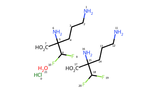 Cl.NCCCC(N)(C(=O)O)C(F)F.NCCCC(N)(C(=O)O)C(F)F.O